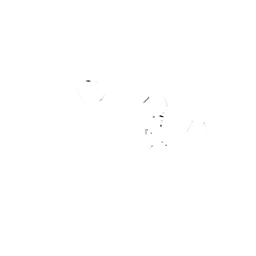 CCOc1cccc(COc2ccc(Sc3ccsc3C3NC(=O)NC3=O)cc2)c1